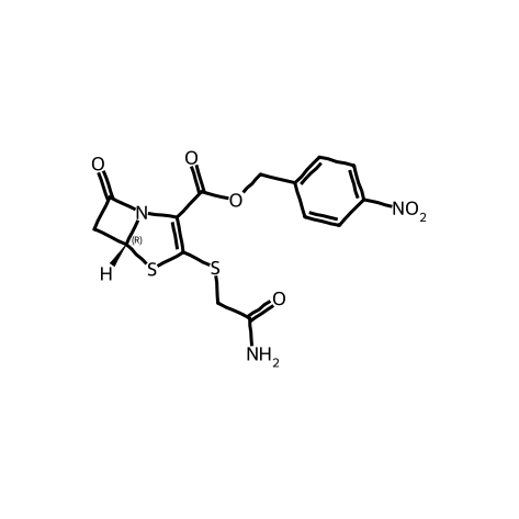 NC(=O)CSC1=C(C(=O)OCc2ccc([N+](=O)[O-])cc2)N2C(=O)C[C@H]2S1